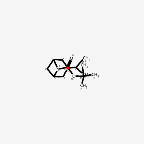 CC(C)N1CC2CC(C1)N2C(=O)OC(C)(C)C